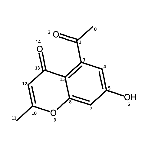 CC(=O)c1cc(O)cc2oc(C)cc(=O)c12